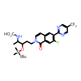 CC(NC(=O)O)C(CCn1ccc2cc(-c3ncc(C(F)(F)F)cn3)c(F)cc2c1=O)O[Si](C)(C)C(C)(C)C